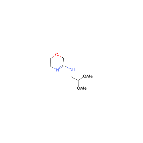 COC(CNC1=NCCOC1)OC